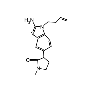 C=CCCn1c(N)nc2cc(C3CCN(C)C3=O)ccc21